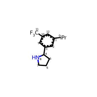 CC(C)c1cc(C2CCCN2)cc(C(F)(F)F)c1